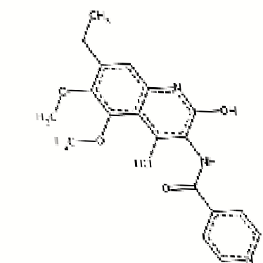 CCc1cc2nc(O)c(NC(=O)c3ccncc3)c(O)c2c(OC)c1OC